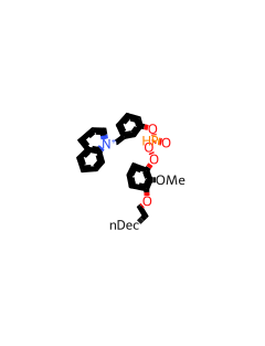 CCCCCCCCCCCCOc1cccc(OO[PH](=O)Oc2cccc(C[n+]3cccc4ccccc43)c2)c1OC